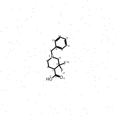 O=C(O)C1CCN(Cc2ccccc2)CC1(F)F